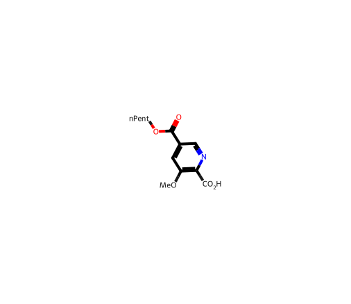 CCCCCOC(=O)c1cnc(C(=O)O)c(OC)c1